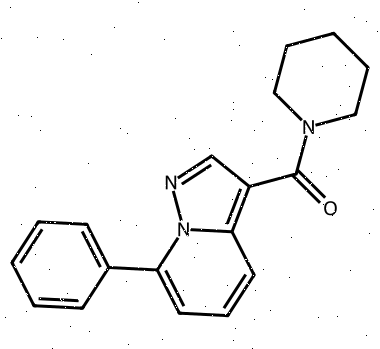 O=C(c1cnn2c(-c3ccccc3)cccc12)N1CCCCC1